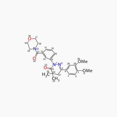 COc1ccc(C2=NN(c3cccc(C(=O)N4CCOCC4)c3)C(=O)C(C)(C)C2)cc1OC